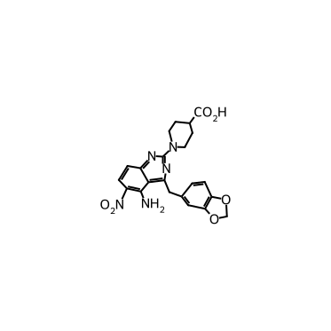 Nc1c([N+](=O)[O-])ccc2nc(N3CCC(C(=O)O)CC3)nc(Cc3ccc4c(c3)OCO4)c12